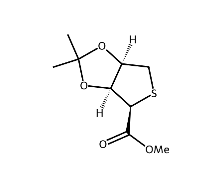 COC(=O)[C@@H]1SC[C@@H]2OC(C)(C)O[C@@H]21